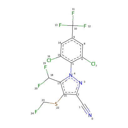 N#Cc1nn(-c2c(Cl)cc(C(F)(F)F)cc2Cl)c(C(F)F)c1SCF